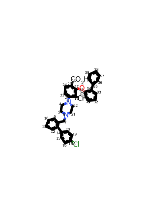 Cc1c(N2CCN(Cc3ccccc3-c3ccc(Cl)cc3)CC2)ccc(C(=O)O)c1Oc1ccccc1-c1ccccc1